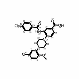 COc1ccc(Cl)cc1N1CCN(c2ccc(C(=O)O)cc2NC(=O)c2ccc(Cl)cc2)CC1